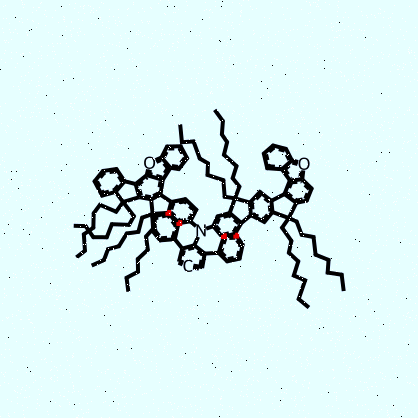 CCCCCCCCC1(CCCCCCCC)c2cc(N(c3ccc4c(c3)C(CCCCCCC)(CCCCCCC)c3c5c(c6oc7ccccc7c6c3-4)-c3ccccc3C5(CCCCCCC)CCCCCCC)c3c(-c4ccccc4)cccc3-c3ccccc3)ccc2-c2cc3c(cc21)-c1c(ccc2oc4ccccc4c12)C3(CCCCCCCC)CCCCCCCC